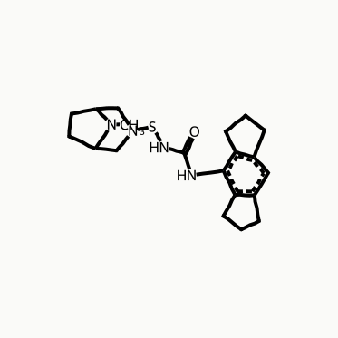 CN1C2CCC1CN(SNC(=O)Nc1c3c(cc4c1CCC4)CCC3)C2